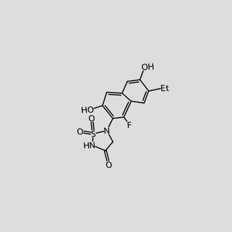 CCc1cc2c(F)c(N3CC(=O)NS3(=O)=O)c(O)cc2cc1O